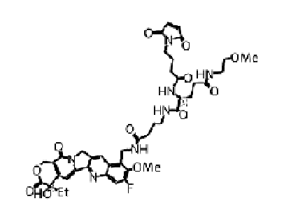 CC[C@@]1(O)C(=O)OCc2c1cc1n(c2=O)Cc2cc3c(CNC(=O)CCCNC(=O)[C@H](CCC(=O)NCCOC)NC(=O)CCCN4C(=O)C=CC4=O)c(OC)c(F)cc3nc2-1